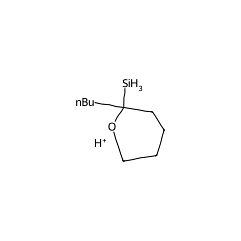 CCCCC1([SiH3])CCCCO1.[H+]